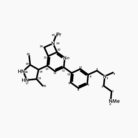 CNCCN(C)Cc1cccc(-c2cc(C3C(C)NNC3C)c3c(n2)N(C(C)C)C3)c1